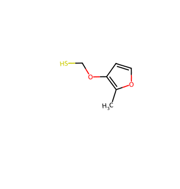 Cc1occc1OCS